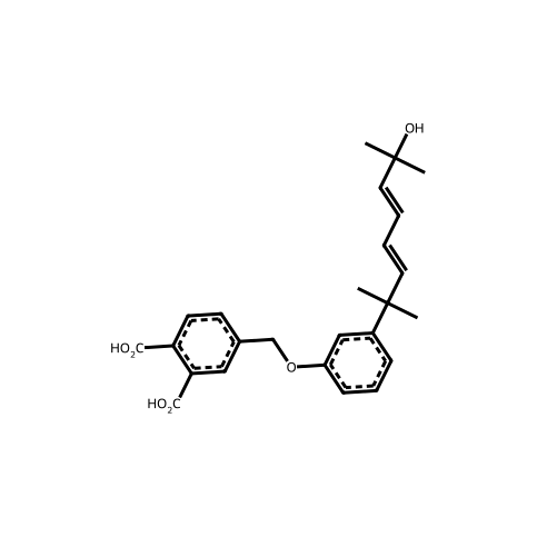 CC(C)(O)C=CC=CC(C)(C)c1cccc(OCc2ccc(C(=O)O)c(C(=O)O)c2)c1